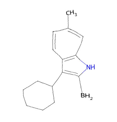 Bc1[nH]c2cc(C)ccc2c1C1CCCCC1